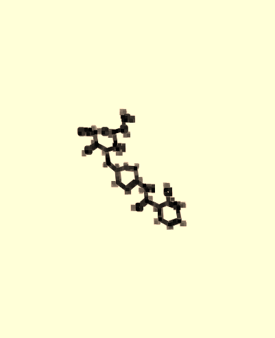 COC(=O)[C@H](Cc1ccc(NC(=O)c2cccnc2Cl)cc1)NC(=O)OC(C)(C)C